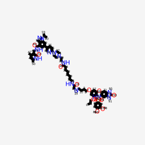 CCCOc1cc(OCCCCN(C)CC(=O)NCCCCCCCC(=O)NCCN2CCN(c3ccc(-c4cc(C(=O)NCc5c(C)cc(C)[nH]c5=O)c5cnn(C(C)C)c5c4)cn3)CC2)cc(Oc2cc3c(cc2NS(=O)(=O)c2ccc(OC)c(OC)c2)n(C)c(=O)n3C)c1